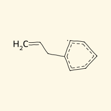 C=CCc1[c]cccc1